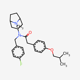 CC(C)COc1ccc(CC(=O)N(Cc2ccc(F)cc2)C2CC3CCC(C2)N3C)cc1